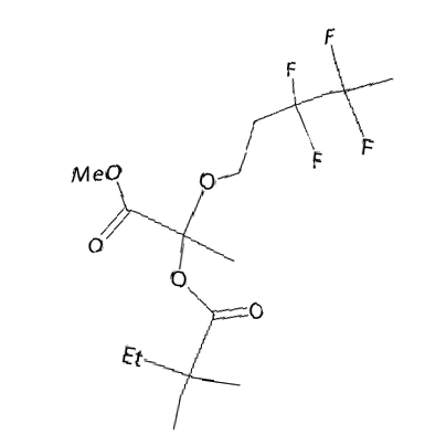 CCC(C)(C)C(=O)OC(C)(OCCC(F)(F)C(C)(F)F)C(=O)OC